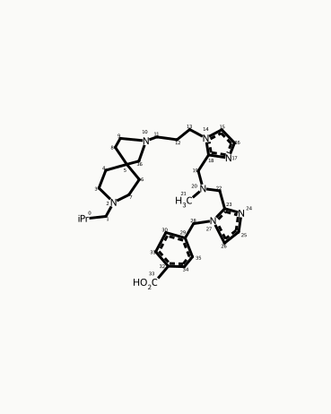 CC(C)CN1CCC2(CC1)CCN(CCCn1ccnc1CN(C)Cc1nccn1Cc1ccc(C(=O)O)cc1)C2